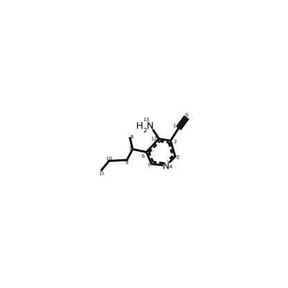 C#Cc1cncc(C(C)CCC)c1N